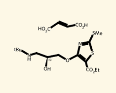 CCOC(=O)c1sc(SC)nc1OC[C@@H](O)CNC(C)(C)C.O=C(O)C=CC(=O)O